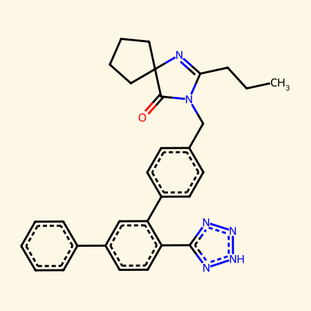 CCCC1=NC2(CCCC2)C(=O)N1Cc1ccc(-c2cc(-c3ccccc3)ccc2-c2nn[nH]n2)cc1